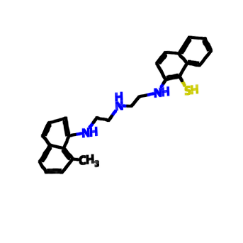 Cc1cccc2cccc(NCCNCCNc3ccc4ccccc4c3S)c12